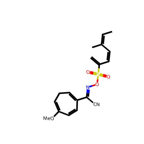 C=C(/C=C\C(C)=C/C)S(=O)(=O)O/N=C(\C#N)C1=CCC=C(OC)C=C1